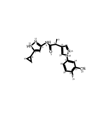 C[C@H](C(=O)Nc1cc(C2CC2)[nH]n1)c1cnn(-c2ccc(F)c(C#N)c2)c1